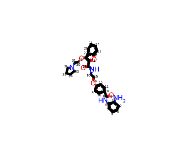 Nc1ccccc1NC(=O)c1ccc(OCCNC(=O)c2oc3ccccc3c2OCCN2CCCC2)cc1